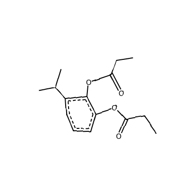 CCC(=O)Oc1cccc(C(C)C)c1OC(=O)CC